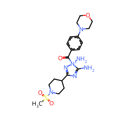 CS(=O)(=O)N1CCC(C2=N[N+](N)(C(=O)c3ccc(N4CCOCC4)cc3)C(N)=N2)CC1